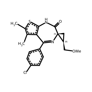 COC[C@@H]1C[C@]12N=C(c1ccc(Cl)cc1)c1c(sc(C)c1C)NC2=O